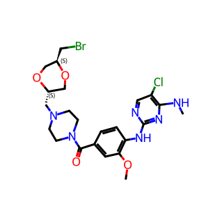 CNc1nc(Nc2ccc(C(=O)N3CCN(C[C@H]4CO[C@H](CBr)CO4)CC3)cc2OC)ncc1Cl